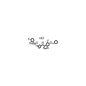 Cl.O=C(Cn1cc(Nc2ncnc3cc(OCc4ccccc4)c(F)cc23)cn1)Nc1cccc(F)c1F